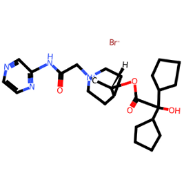 O=C(C[N+]12CCC(CC1)[C@@H](OC(=O)C(O)(C1CCCC1)C1CCCC1)C2)Nc1cnccn1.[Br-]